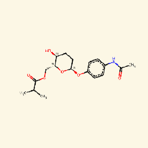 CC(=O)Nc1ccc(O[C@@H]2CC[C@H](O)[C@@H](COC(=O)C(C)C)O2)cc1